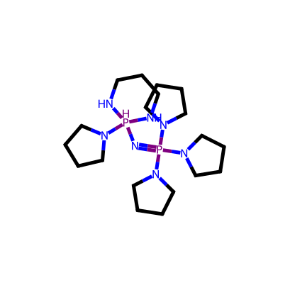 C1CN[PH](N=P(N2CCCC2)(N2CCCC2)N2CCCC2)(N2CCCC2)NC1